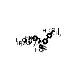 CC(C)(C)OC(=O)NC12CCC(CN(c3cccc(-c4ccc(C(C)(C)O)cc4)c3)C(=O)[C@H]3C[C@](O)(C(F)(F)F)C3)(CC1)CC2